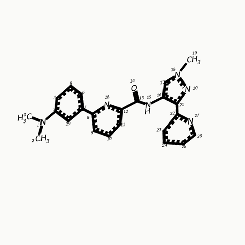 CN(C)c1cccc(-c2cccc(C(=O)Nc3cn(C)nc3-c3ccccn3)n2)c1